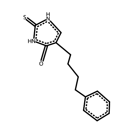 O=c1[nH]c(=S)[nH]cc1CCCCc1ccccc1